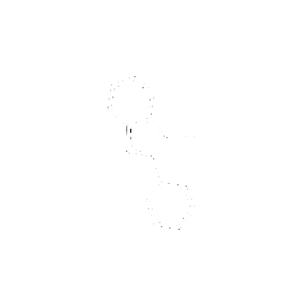 [O-][n+]1c2ccccc2nn1-c1ccccc1